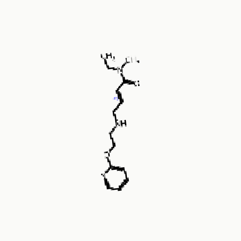 CCN(C)C(=O)/C=C/CNCCOc1ccccn1